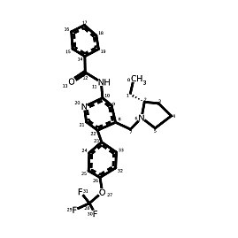 CC[C@@H]1CCCN1Cc1cc(NC(=O)c2cc[c]cc2)ncc1-c1ccc(OC(F)(F)F)cc1